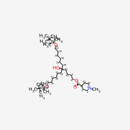 CN1CCC(C(=O)OCCCCC(O)(CCCCCCO[Si](C)(C)C(C)(C)C)CCCCCCO[Si](C)(C)C(C)(C)C)CC1